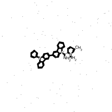 CC1=CN(N)[C@H](C(N)n2c3ccccc3c3cc(-c4ccc5c(c4)c4ccccc4n5-c4ccccc4)ccc32)C=C1